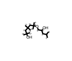 CC(C)CC(O)COC(C)(C)CC(C)(C)CC(C)(C)O